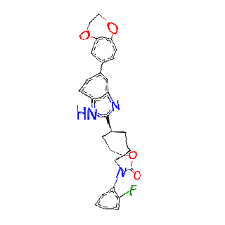 O=C1O[C@]2(CC[C@H](c3nc4cc(-c5ccc6c(c5)OCCO6)ccc4[nH]3)CC2)CN1c1ccccc1F